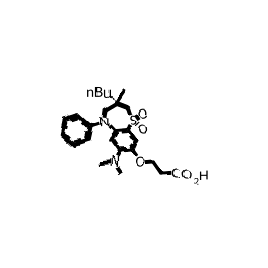 CCCC[C@@]1(C)CN(c2ccccc2)c2cc(N(C)C)c(OCCC(=O)O)cc2S(=O)(=O)C1